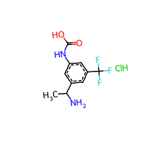 CC(N)c1cc(NC(=O)O)cc(C(F)(F)F)c1.Cl